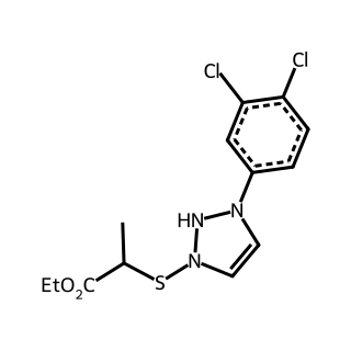 CCOC(=O)C(C)SN1C=CN(c2ccc(Cl)c(Cl)c2)N1